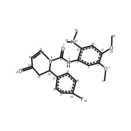 COc1cc(NC(=O)N2C=CC(=O)CC2c2ccc(F)cc2)c(N(C)C)cc1OC